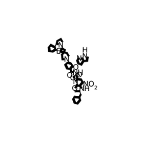 CCc1ccccc1[C@H]1CCCN1C1CC2(CCN(c3ccc(C(=O)NS(=O)(=O)c4cc([N+](=O)[O-])c5c(n4)OC[C@H](Cc4ccccc4)N5)c(Oc4cnc5[nH]ccc5c4)c3)CC2)C1